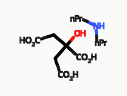 CCCNCCC.O=C(O)CC(O)(CC(=O)O)C(=O)O